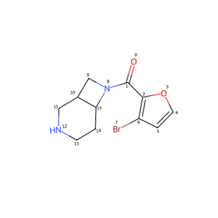 O=C(c1occc1Br)N1CC2CNCCC21